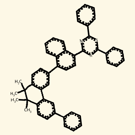 CC1(C)c2ccc(-c3ccccc3)cc2-c2cc(-c3ccc(-c4nc(-c5ccccc5)nc(-c5ccccc5)n4)c4ccccc34)ccc2C1(C)C